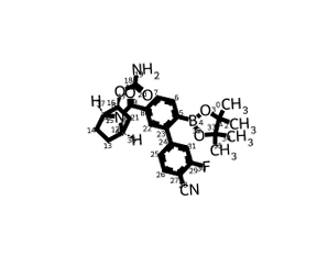 CC1(C)OB(c2ccc(C(=O)N3[C@@H]4CC[C@H]3[C@@H](OC(N)=O)C4)cc2-c2ccc(C#N)c(F)c2)OC1(C)C